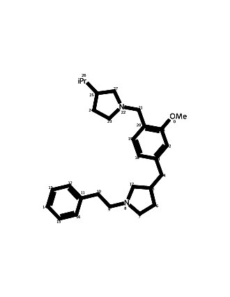 COc1cc(CC2CCN(CCc3ccccc3)C2)ccc1CN1CCC(C(C)C)C1